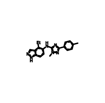 CCc1c(Nc2nc(-c3ccc(C)cc3)nn2C)ccc2[nH]ncc12